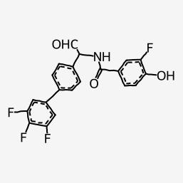 O=CC(NC(=O)c1ccc(O)c(F)c1)c1ccc(-c2cc(F)c(F)c(F)c2)cc1